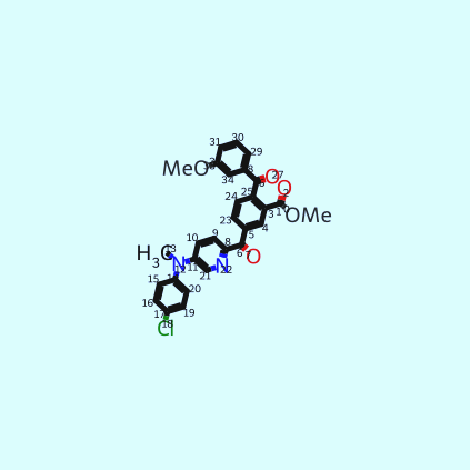 COC(=O)c1cc(C(=O)c2ccc(N(C)c3ccc(Cl)cc3)cn2)ccc1C(=O)c1cccc(OC)c1